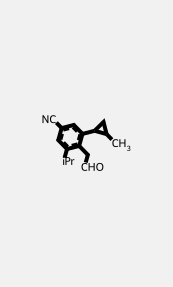 CC(C)c1cc(C#N)cc(C2CC2C)c1CC=O